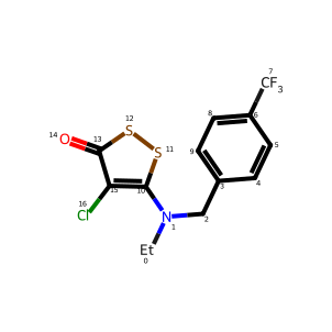 CCN(Cc1ccc(C(F)(F)F)cc1)c1ssc(=O)c1Cl